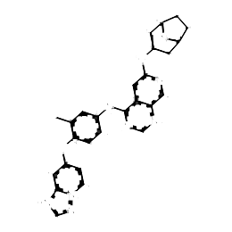 Cc1cc(Nc2ncnc3cnc(OC4CC5CCC(C4)N5)cc23)ccc1Oc1ccn2ncnc2c1